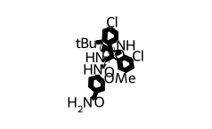 COc1cc(C(N)=O)ccc1NC(=O)[C@@H]1N[C@@H](CC(C)(C)C)[C@@]2(C(=O)Nc3cc(Cl)ccc32)[C@H]1c1cccc(Cl)c1